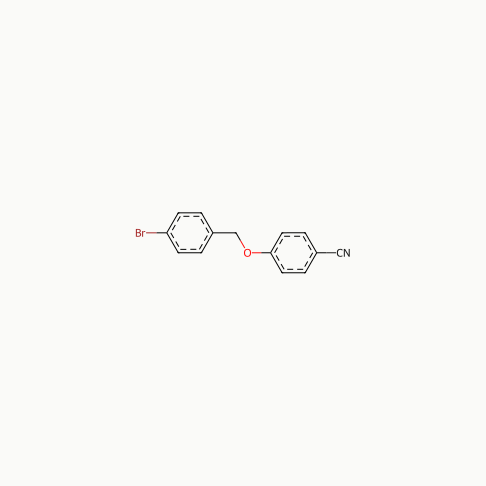 N#Cc1ccc(OCc2ccc(Br)cc2)cc1